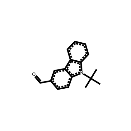 CC(C)(C)n1c2ccccc2c2cc(C=O)ccc21